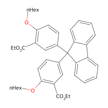 CCCCCCOc1ccc(C2(c3ccc(OCCCCCC)c(C(=O)OCC)c3)c3ccccc3-c3ccccc32)cc1C(=O)OCC